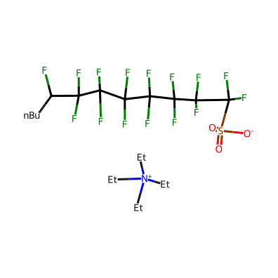 CCCCC(F)C(F)(F)C(F)(F)C(F)(F)C(F)(F)C(F)(F)C(F)(F)C(F)(F)S(=O)(=O)[O-].CC[N+](CC)(CC)CC